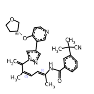 C=C(/C(C)=C\C=C(/C)NC(=O)c1cccc(C(C)(C)C#N)c1)n1cc(-c2cnccc2O[C@@H]2CCOC2)cn1